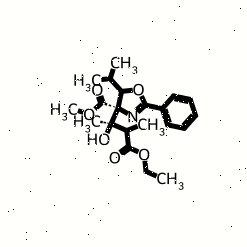 CCOC(=O)C(C)[C@@](C)(O)[C@]1(C(=O)OC)N=C(c2ccccc2)OC1C(C)C